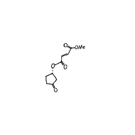 COC(=O)/C=C/C(=O)O[C@H]1CCC(=O)C1